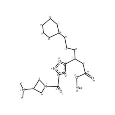 CN(C)C1CN(C(=O)c2noc(C(CCCC3CCCCC3)CC(=O)OC(C)(C)C)n2)C1